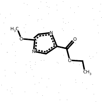 CCOC(=O)c1cnc(OC)cn1